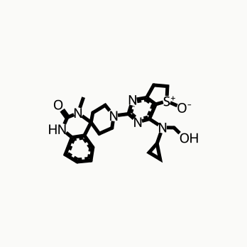 CN1C(=O)Nc2ccccc2C12CCN(c1nc3c(c(N(CO)C4CC4)n1)[S+]([O-])CC3)CC2